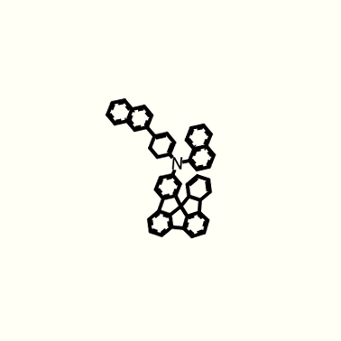 C1=CC2c3cccc4c3C3(c5cc(N(C6=CC=C(c7ccc8ccccc8c7)CC6)c6cccc7ccccc67)ccc5-c5cccc-4c53)C2C=C1